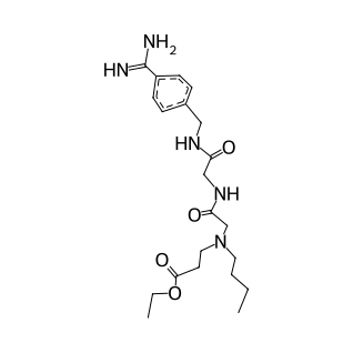 CCCCN(CCC(=O)OCC)CC(=O)NCC(=O)NCc1ccc(C(=N)N)cc1